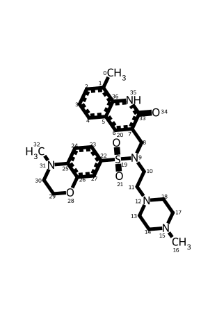 Cc1cccc2cc(CN(CCN3CCN(C)CC3)S(=O)(=O)c3ccc4c(c3)OCCN4C)c(=O)[nH]c12